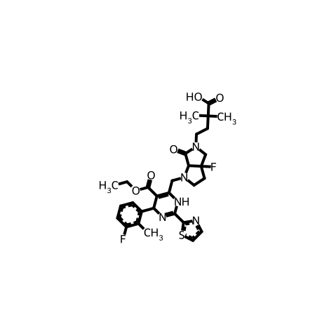 CCOC(=O)C1=C(CN2CCC3(F)CN(CCC(C)(C)C(=O)O)C(=O)C23)NC(c2nccs2)=NC1c1cccc(F)c1C